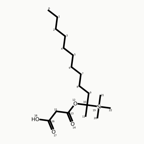 CCCCCCCCCCC(C)(OC(=O)CC(=O)O)[Si](C)(C)C